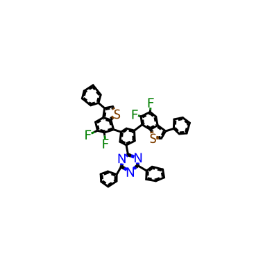 Fc1cc2c(-c3ccccc3)csc2c(-c2cc(-c3nc(-c4ccccc4)nc(-c4ccccc4)n3)cc(-c3c(F)c(F)cc4c(-c5ccccc5)csc34)c2)c1F